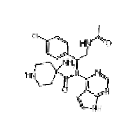 CC(=O)NCC(c1ccc(Cl)cc1)N(C(=O)C1(N)CCNCC1)c1ncnc2[nH]ccc12